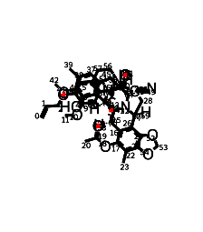 C=CCOc1cc2c(cc1OC)[C@@]1(CS[C@@H]3c4c(OC(C)=O)c(C)c5c(c4[C@H](COC1=O)N1C3[C@H]3c4c(cc(C)c(OC)c4O)C[C@@H]([C@@H]1C#N)N3C)OCO5)NCC2